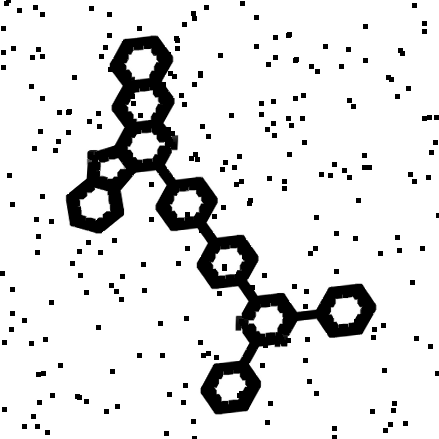 c1ccc(-c2cc(-c3ccc(-c4ccc(-c5nc6cc7ccccc7cc6c6sc7ccccc7c56)cc4)cc3)nc(-c3ccccc3)n2)cc1